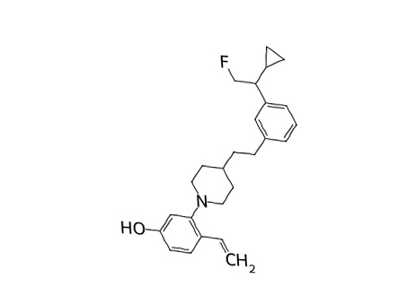 C=Cc1ccc(O)cc1N1CCC(CCc2cccc(C(CF)C3CC3)c2)CC1